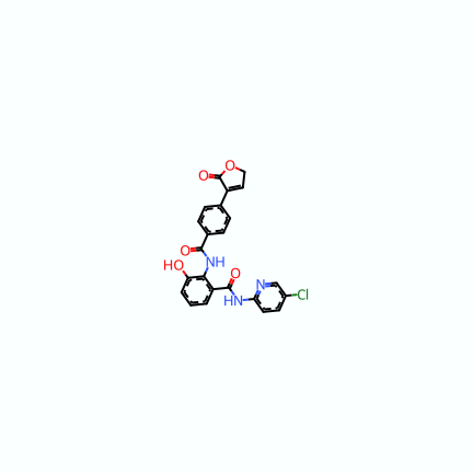 O=C1OCC=C1c1ccc(C(=O)Nc2c(O)cccc2C(=O)Nc2ccc(Cl)cn2)cc1